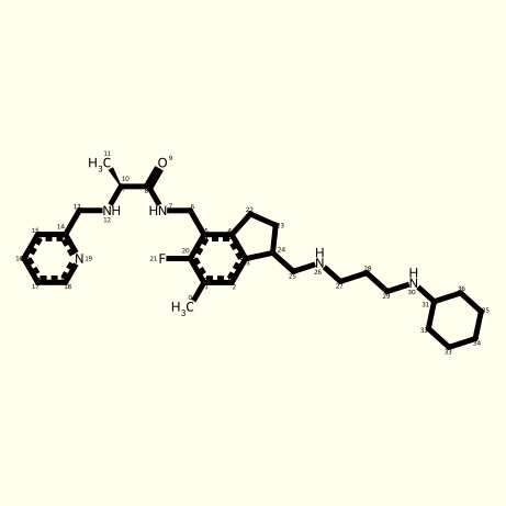 Cc1cc2c(c(CNC(=O)[C@H](C)NCc3ccccn3)c1F)CCC2CNCCCNC1CCCCC1